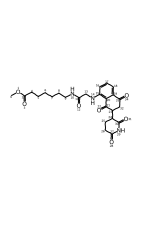 COC(=O)CCCCCCNC(=O)CNc1cccc2c1C(=O)C(C1CCC(=O)NC1=O)CC2=O